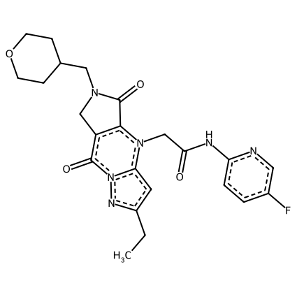 CCc1cc2n(CC(=O)Nc3ccc(F)cn3)c3c(c(=O)n2n1)CN(CC1CCOCC1)C3=O